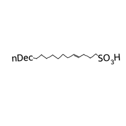 CCCCCCCCCCCCCCCCC/C=C/CCCS(=O)(=O)O